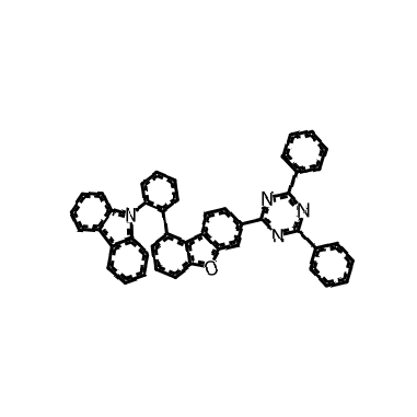 c1ccc(-c2nc(-c3ccccc3)nc(-c3ccc4c(c3)oc3cccc(-c5ccccc5-n5c6ccccc6c6ccccc65)c34)n2)cc1